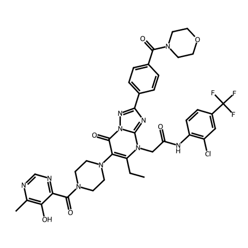 CCc1c(N2CCN(C(=O)c3ncnc(C)c3O)CC2)c(=O)n2nc(-c3ccc(C(=O)N4CCOCC4)cc3)nc2n1CC(=O)Nc1ccc(C(F)(F)F)cc1Cl